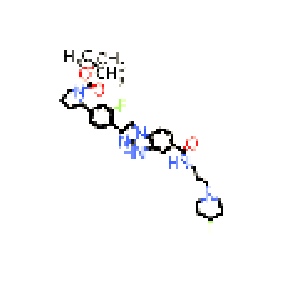 CC(C)(C)OC(=O)N1CCCC1c1ccc(-c2cn3c(n2)[nH]c2cc(C(=O)NCCCN4CCC(F)CC4)ccc23)c(F)c1